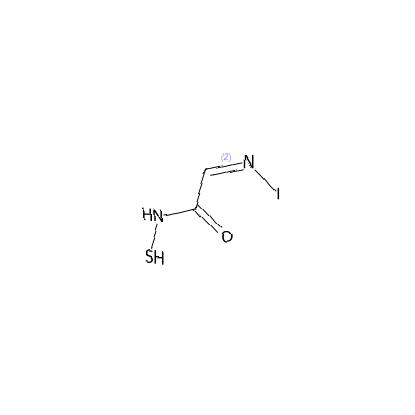 O=C(/C=N\I)NS